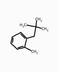 [CH2]c1ccccc1CC(C)(C)C